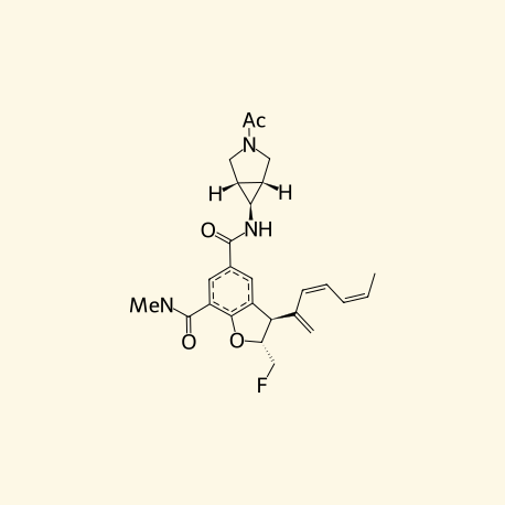 C=C(/C=C\C=C/C)[C@@H]1c2cc(C(=O)N[C@H]3[C@@H]4CN(C(C)=O)C[C@@H]43)cc(C(=O)NC)c2O[C@H]1CF